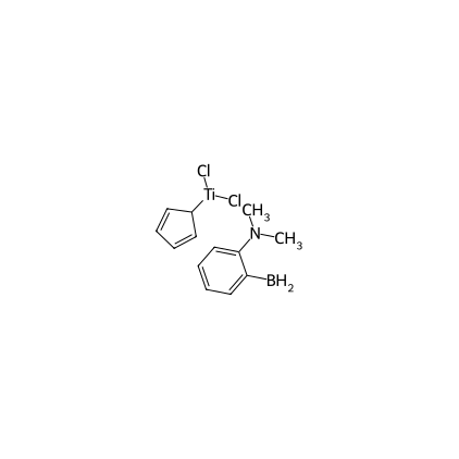 Bc1ccccc1N(C)C.[Cl][Ti]([Cl])[CH]1C=CC=C1